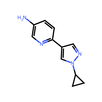 Nc1ccc(-c2cnn(C3CC3)c2)nc1